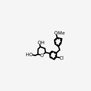 COc1ccc(Cc2cc(C3CC(O)CC(CO)O3)ccc2Cl)cc1